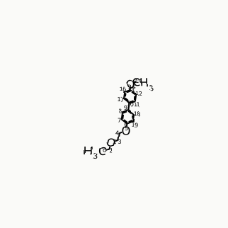 CCOCCOc1ccc(-c2ccc(OC)cc2)cc1